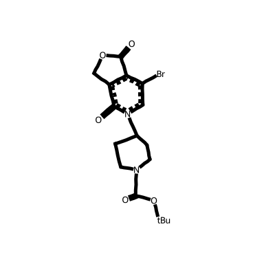 CC(C)(C)OC(=O)N1CCC(n2cc(Br)c3c(c2=O)COC3=O)CC1